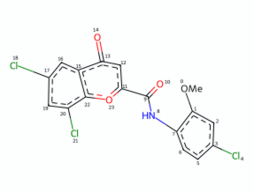 COc1cc(Cl)ccc1NC(=O)c1cc(=O)c2cc(Cl)cc(Cl)c2o1